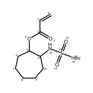 C=CC(=O)OC1CCCCCC1NS(=O)(=O)CCCC